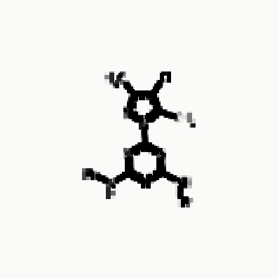 Cc1nn(-c2nc(NC(C)C)nc(NC(C)C)n2)c(C)c1Cl